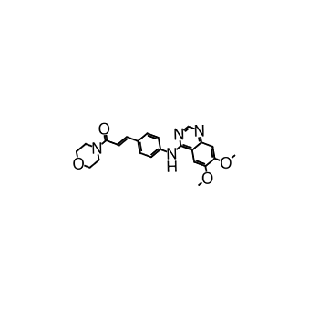 COc1cc2ncnc(Nc3ccc(/C=C/C(=O)N4CCOCC4)cc3)c2cc1OC